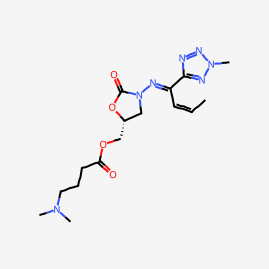 C/C=C\C(=N/N1C[C@H](COC(=O)CCCN(C)C)OC1=O)c1nnn(C)n1